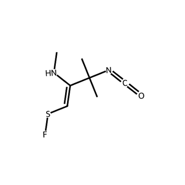 CN/C(=C\SF)C(C)(C)N=C=O